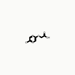 O=C(O)COc1cnc(Cl)cn1